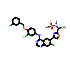 CCN(C(C)c1nc(-c2cc3c(Nc4ccc(OCc5cccc(F)c5)c(Cl)c4)ncnc3cc2F)cs1)S(=O)(=O)C(C)C